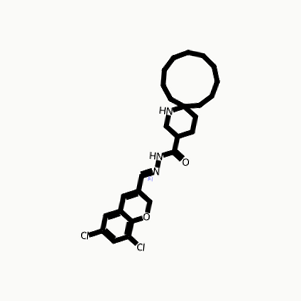 O=C(N/N=C/C1=Cc2cc(Cl)cc(Cl)c2OC1)C1CCC2(CCCCCCCCCC2)NC1